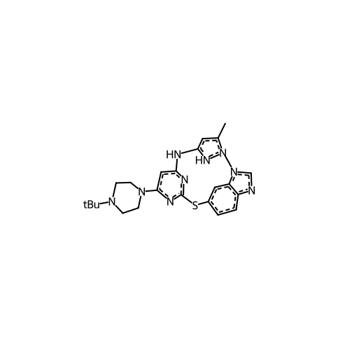 Cc1cc(Nc2cc(N3CCN(C(C)(C)C)CC3)nc(Sc3ccc4ncn(C)c4c3)n2)[nH]n1